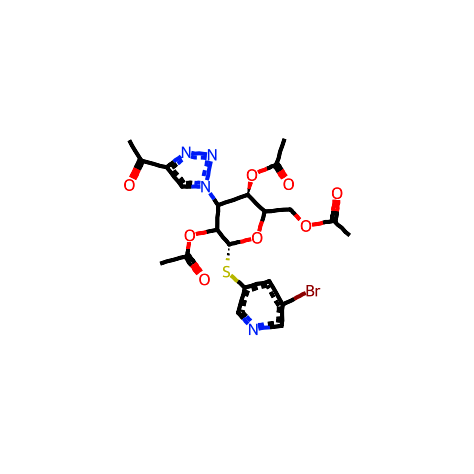 CC(=O)OCC1O[C@H](Sc2cncc(Br)c2)C(OC(C)=O)C(n2cc(C(C)=O)nn2)[C@H]1OC(C)=O